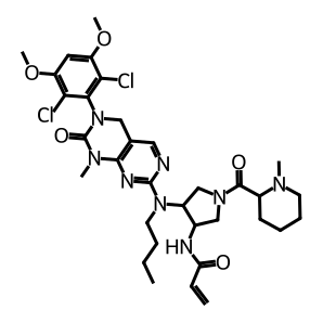 C=CC(=O)NC1CN(C(=O)C2CCCCN2C)CC1N(CCCC)c1ncc2c(n1)N(C)C(=O)N(c1c(Cl)c(OC)cc(OC)c1Cl)C2